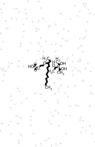 C=CC(CCCCCCCCC)OCCOS(=O)(=O)O.CC(O)N(C(C)O)C(C)O